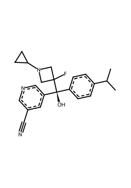 CC(C)c1ccc([C@](O)(c2cncc(C#N)c2)C2(F)CN(C3CC3)C2)cc1